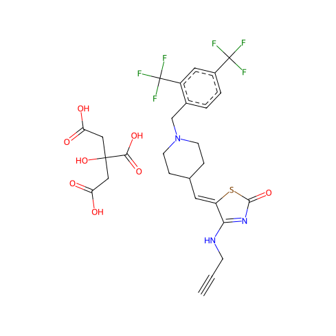 C#CCNC1=NC(=O)S/C1=C\C1CCN(Cc2ccc(C(F)(F)F)cc2C(F)(F)F)CC1.O=C(O)CC(O)(CC(=O)O)C(=O)O